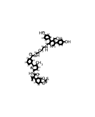 CCc1c(-c2ccc(O)cc2)cnc(CNCCOCCNC(=O)c2cccc(-c3nc(NC(=O)C4(c5ccc6c(c5)OC(F)(F)O6)CC4)ccc3C)c2)c1-c1ccc(O)cc1